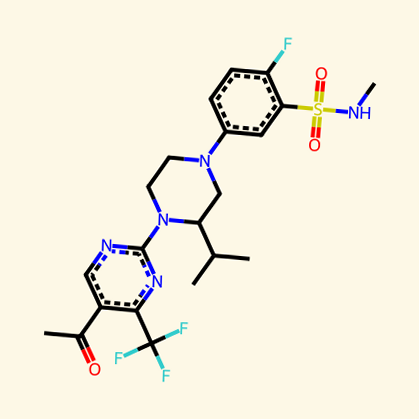 CNS(=O)(=O)c1cc(N2CCN(c3ncc(C(C)=O)c(C(F)(F)F)n3)C(C(C)C)C2)ccc1F